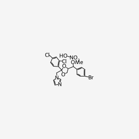 COC(c1ccc(Br)cc1)C1COC(Cn2ccnc2)(c2ccc(Cl)cc2Cl)O1.O=[N+]([O-])O